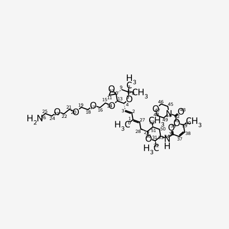 CC(/C=C/[C@H]1OC(C)(C)C[C@@]2(CO2)[C@@H]1OCCOCCOCCOCCN)=C\C[C@@H]1O[C@H](C)[C@H](NC(=O)/C=C\[C@H](C)OC(=O)N2CCOCC2)C[C@@H]1C